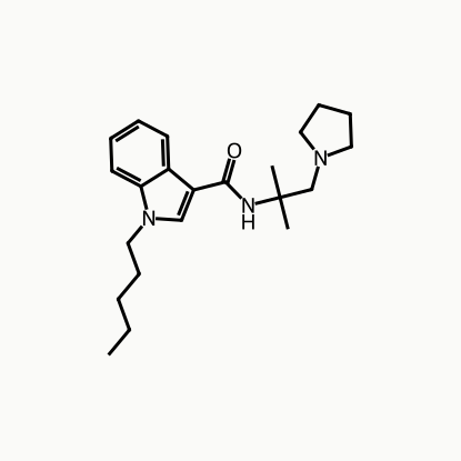 CCCCCn1cc(C(=O)NC(C)(C)CN2CCCC2)c2ccccc21